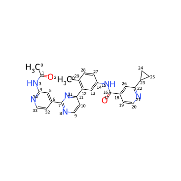 CC(=O)Nc1cc(-c2nccc(-c3cc(NC(=O)c4ccnc(C5CC5)c4)ccc3C)n2)ccn1